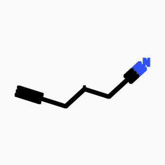 C#CC[CH]CC#N